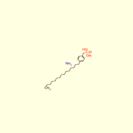 CCCCCCCCCCCCCCCc1ccc(CP(=O)(O)O)cc1.N